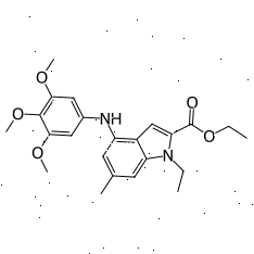 CCOC(=O)c1cc2c(Nc3cc(OC)c(OC)c(OC)c3)cc(C)cc2n1CC